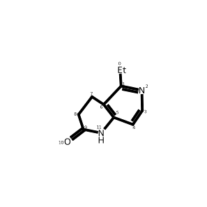 CCc1nccc2c1CCC(=O)N2